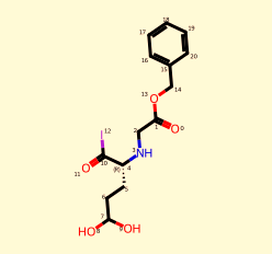 O=C(CN[C@H](CCC(O)O)C(=O)I)OCc1ccccc1